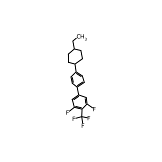 CCC1CCC(c2ccc(-c3cc(F)c(C(F)(F)F)c(F)c3)cc2)CC1